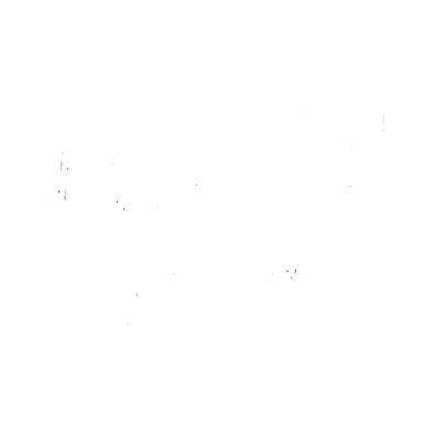 COc1cc2c(C)cc3n[nH]c(=O)n3c2cc1-c1ccc(Cl)cc1